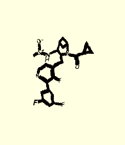 C[S+]([O-])NC1C2CC(C2)N(C(=O)C2CC2)C1Cc1ccnc(-c2cc(F)cc(F)c2)c1F